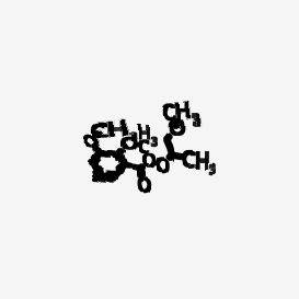 COC[C](C)OOC(=O)c1cccc(OC)c1OC